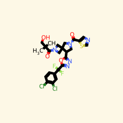 CC(C)(CO)C(=O)N1CC2(CN(C(=O)c3cncs3)CC2c2nnc(C(F)(F)c3ccc(Cl)c(Cl)c3)o2)C1